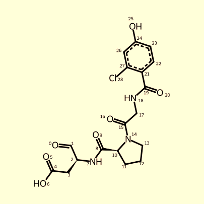 O=C[C@H](CC(=O)O)NC(=O)[C@@H]1CCCN1C(=O)CNC(=O)c1ccc(O)cc1Cl